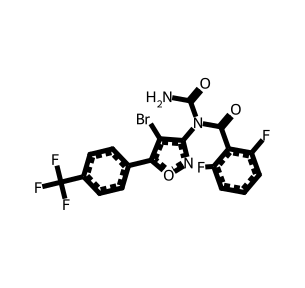 NC(=O)N(C(=O)c1c(F)cccc1F)c1noc(-c2ccc(C(F)(F)F)cc2)c1Br